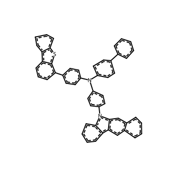 c1ccc(-c2ccc(N(c3ccc(-c4cccc5c4sc4ccccc45)cc3)c3ccc(-n4c5ccccc5c5cc6ccccc6cc54)cc3)cc2)cc1